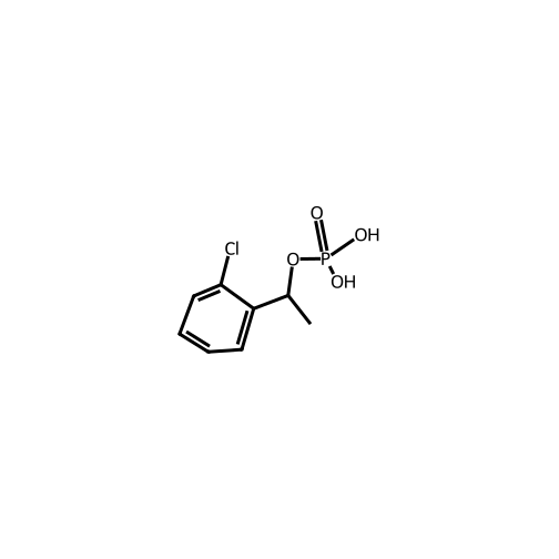 CC(OP(=O)(O)O)c1ccccc1Cl